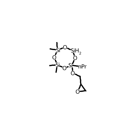 CCC[Si]1(OCC2CO2)O[SiH2]O[Si](C)(C)O[Si](C)(C)O1